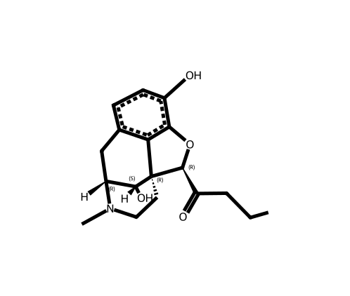 CCCC(=O)[C@@H]1Oc2c(O)ccc3c2[C@@]12CCN(C)[C@H](C3)[C@H]2O